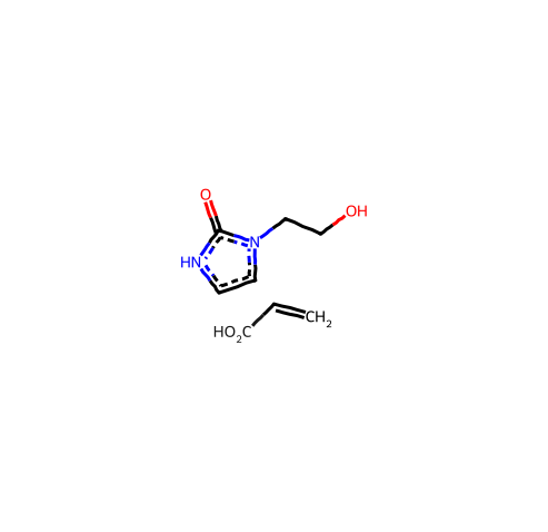 C=CC(=O)O.O=c1[nH]ccn1CCO